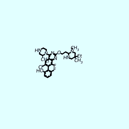 CCC1(C)CNC(CCOc2nc(N3CCNC[C@@H]3C)c3cc(Cl)c(-c4c(O)cccc4F)c(F)c3n2)N(C)C1